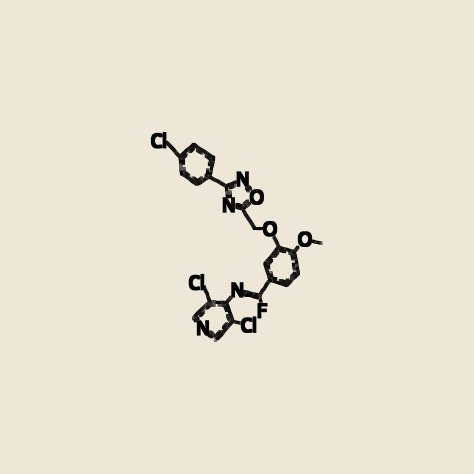 COc1ccc(C(F)=Nc2c(Cl)cncc2Cl)cc1OCc1nc(-c2ccc(Cl)cc2)no1